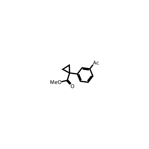 COC(=O)C1(c2cccc(C(C)=O)c2)CC1